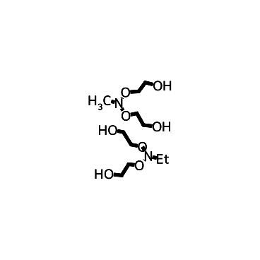 CCN(OCCO)OCCO.CN(OCCO)OCCO